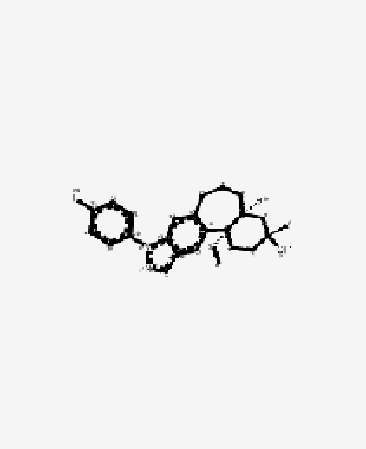 CC[C@@]12CC[C@@](C)(O)C[C@@H]1CCCc1cc3c(cnn3-c3ccc(F)cc3)cc12